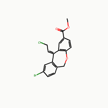 COC(=O)c1ccc2c(c1)C(=CCCl)c1cc(Br)ccc1CO2